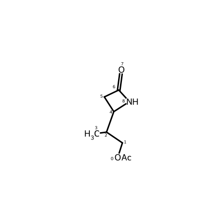 CC(=O)OCC(C)C1CC(=O)N1